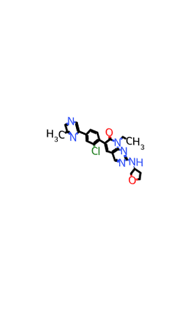 CCn1c(=O)c(-c2ccc(-c3cncc(C)n3)cc2Cl)cc2cnc(N[C@@H]3CCOC3)nc21